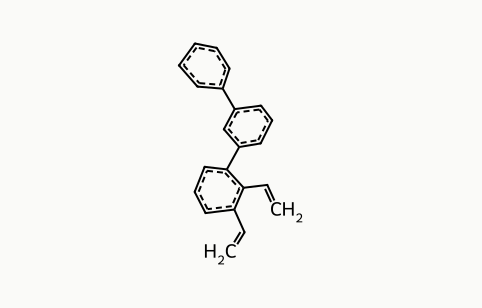 C=Cc1cccc(-c2cccc(-c3ccccc3)c2)c1C=C